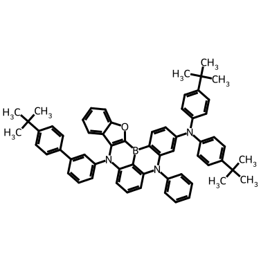 CC(C)(C)c1ccc(-c2cccc(N3c4cccc5c4B(c4ccc(N(c6ccc(C(C)(C)C)cc6)c6ccc(C(C)(C)C)cc6)cc4N5c4ccccc4)c4oc5ccccc5c43)c2)cc1